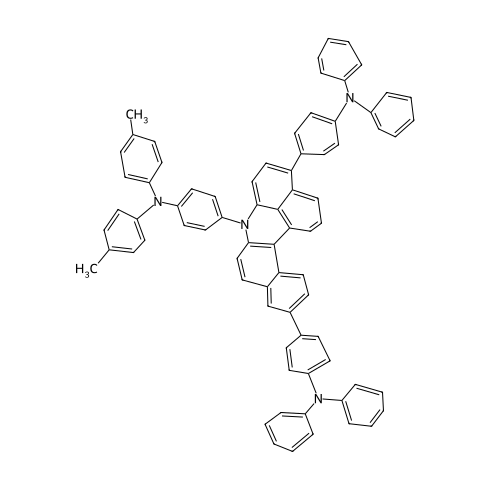 Cc1ccc(N(c2ccc(C)cc2)c2ccc(N3c4ccc5cc(-c6ccc(N(c7ccccc7)c7ccccc7)cc6)ccc5c4-c4cccc5c(-c6ccc(N(c7ccccc7)c7ccccc7)cc6)ccc3c45)cc2)cc1